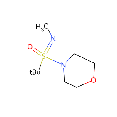 CN=S(=O)(N1CCOCC1)C(C)(C)C